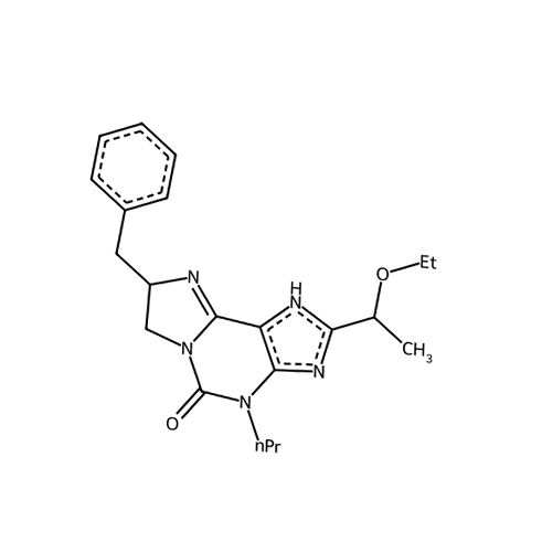 CCCN1C(=O)N2CC(Cc3ccccc3)N=C2c2[nH]c(C(C)OCC)nc21